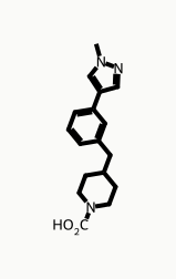 Cn1cc(-c2cccc(CC3CCN(C(=O)O)CC3)c2)cn1